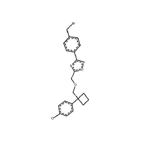 Clc1ccc(C2(COCc3nc(-c4ccc(CBr)cc4)no3)CCC2)cc1